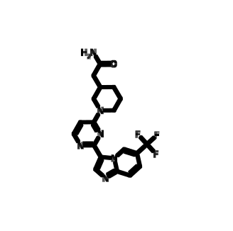 NC(=O)CC1CCCN(c2ccnc(-c3cnc4ccc(C(F)(F)F)cn34)n2)C1